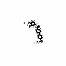 CCCNC1CCC(C2CCC(C(F)(F)Oc3ccc(P)c(F)c3)CC2)CC1